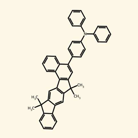 CC1(C)c2ccccc2-c2cc3c(cc21)-c1c(cc(-c2ccc(N(c4ccccc4)c4ccccc4)cc2)c2ccccc12)C3(C)C